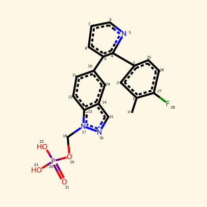 Cc1cc(-c2ncccc2-c2ccc3c(cnn3COP(=O)(O)O)c2)ccc1F